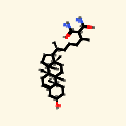 CC(CCC[C@@H](C)[C@H]1CC[C@H]2[C@@H]3CC=C4C[C@@H](O)CC[C@]4(C)[C@H]3CC[C@]12C)C(C(N)=O)C(N)=O